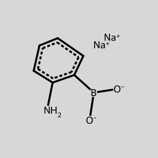 Nc1ccccc1B([O-])[O-].[Na+].[Na+]